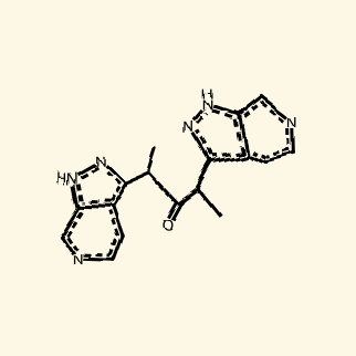 CC(C(=O)C(C)c1n[nH]c2cnccc12)c1n[nH]c2cnccc12